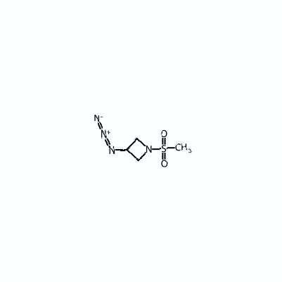 CS(=O)(=O)N1CC(N=[N+]=[N-])C1